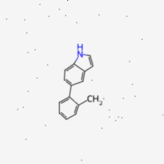 [CH2]c1ccccc1-c1ccc2[nH]ccc2c1